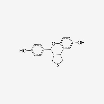 Oc1ccc(C2Oc3ccc(O)cc3C3CSCC32)cc1